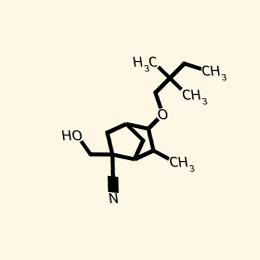 CCC(C)(C)COC1C2CC(C1C)C(C#N)(CO)C2